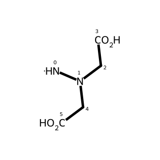 [NH]N(CC(=O)O)CC(=O)O